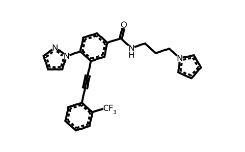 O=C(NCCCn1cccc1)c1ccc(-n2cccn2)c(C#Cc2ccccc2C(F)(F)F)c1